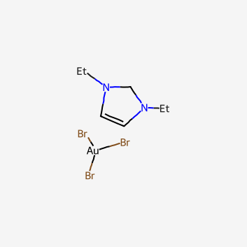 CCN1C=CN(CC)C1.[Br][Au]([Br])[Br]